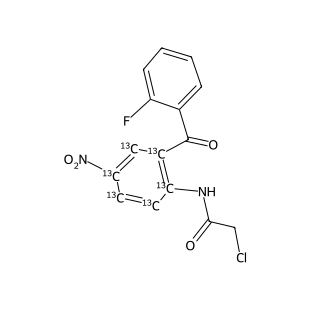 O=C(CCl)N[13c]1[13cH][13cH][13c]([N+](=O)[O-])[13cH][13c]1C(=O)c1ccccc1F